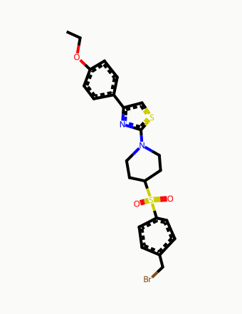 CCOc1ccc(-c2csc(N3CCC(S(=O)(=O)c4ccc(CBr)cc4)CC3)n2)cc1